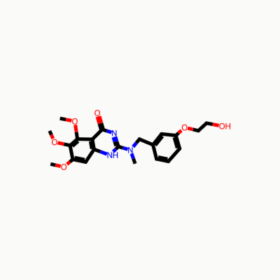 COc1cc2[nH]c(N(C)Cc3cccc(OCCO)c3)nc(=O)c2c(OC)c1OC